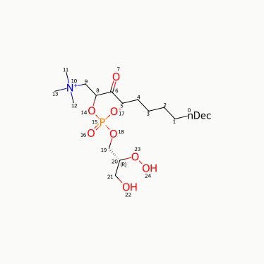 CCCCCCCCCCCCCCCC(=O)C(C[N+](C)(C)C)OP(=O)([O-])OC[C@@H](CO)OO